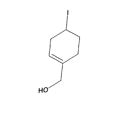 OCC1=CCC(I)CC1